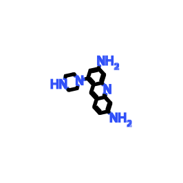 Nc1ccc2cc3c(N4CCNCC4)cc(N)cc3nc2c1